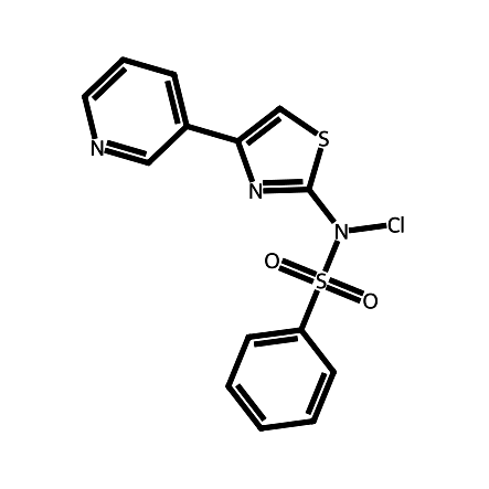 O=S(=O)(c1ccccc1)N(Cl)c1nc(-c2cccnc2)cs1